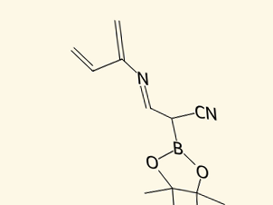 C=CC(=C)N=CC(C#N)B1OC(C)(C)C(C)(C)O1